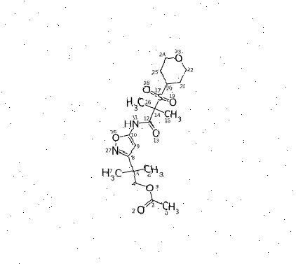 CC(=O)OCC(C)(C)c1cc(NC(=O)C(C)(C)S(=O)(=O)C2CCOCC2)on1